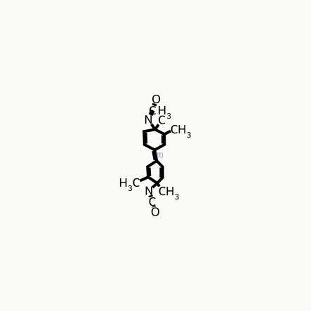 CC1=C/C(=C2\C=CC(C)(N=C=O)C(C)=C2)C=CC1(C)N=C=O